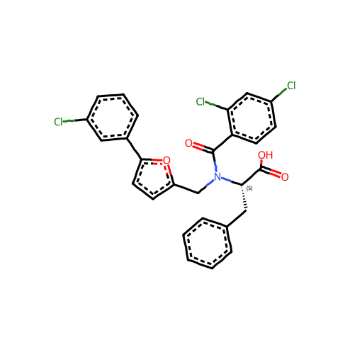 O=C(O)[C@H](Cc1ccccc1)N(Cc1ccc(-c2cccc(Cl)c2)o1)C(=O)c1ccc(Cl)cc1Cl